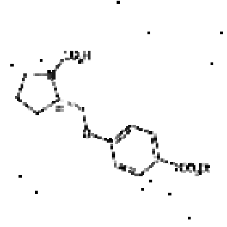 CCOC(=O)c1ccc(OC[C@@H]2CCCN2C(=O)O)cc1